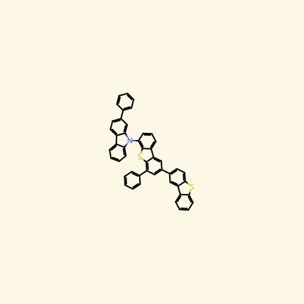 c1ccc(-c2ccc3c4ccccc4n(-c4cccc5c4sc4c(-c6ccccc6)cc(-c6ccc7sc8ccccc8c7c6)cc45)c3c2)cc1